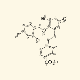 O=C(O)c1ccc(CCc2cc(Cl)cc(Br)c2OCc2ccc(F)cc2Cl)cc1